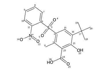 Cc1c(S(=O)(=O)c2ccccc2[N+](=O)[O-])cc(C(C)(C)C)c(O)c1C(=O)O